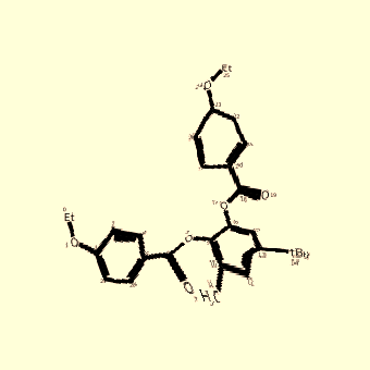 CCOc1ccc(C(=O)Oc2c(C)cc(C(C)(C)C)cc2OC(=O)C2=CCC(OCC)C=C2)cc1